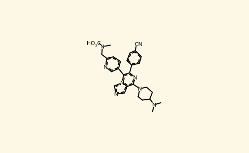 CN(Cc1ccc(-c2c(-c3ccc(C#N)cc3)nc(N3CCC(N(C)C)CC3)c3cncn23)cn1)C(=O)O